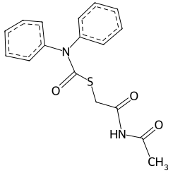 CC(=O)NC(=O)CSC(=O)N(c1ccccc1)c1ccccc1